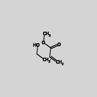 C=CC(=O)OC.[CH2]CO